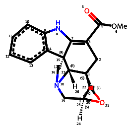 CC[C@@]12CC(C(=O)OC)=C3Nc4ccccc4[C@@]34CCN(C[C@@H]3O[C@@H]31)[C@@H]24